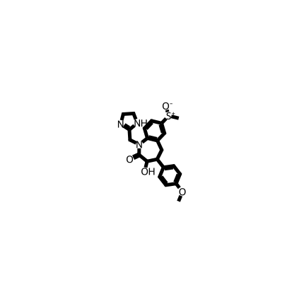 COc1ccc(C2Cc3cc([S+](C)[O-])ccc3N(CC3=NCCN3)C(=O)C2O)cc1